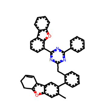 Cc1cc2oc3c(c2cc1-c1ccccc1Cc1nc(-c2ccccc2)nc(-c2cccc4c2oc2ccccc24)n1)C=CCC3